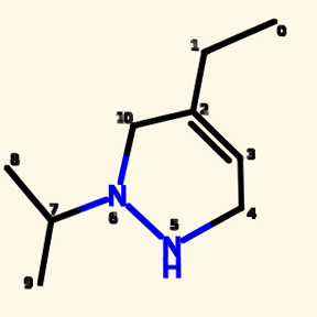 CCC1=CCNN(C(C)C)C1